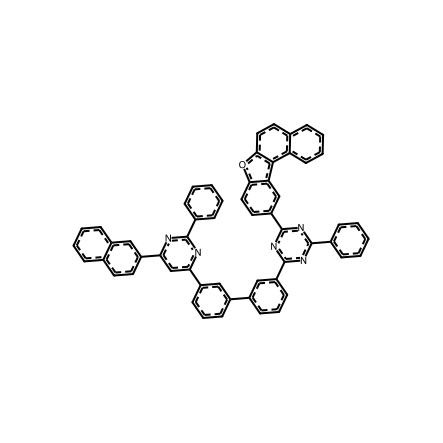 c1ccc(-c2nc(-c3cccc(-c4cccc(-c5nc(-c6ccccc6)nc(-c6ccc7oc8ccc9ccccc9c8c7c6)n5)c4)c3)cc(-c3ccc4ccccc4c3)n2)cc1